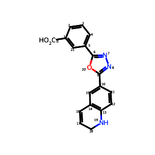 O=C(O)c1cccc(-c2nnc(-c3ccc4c(c3)C=CCN4)o2)c1